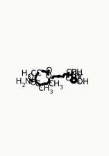 C[C@@H]1C/C=C\C(=O)O[C@H](/C=C/C#C/C=C/C(C)(C)C(O)c2cccc(O)c2Br)[C@@H](C)/C=C/[C@H](C)C[C@H](OC(N)=O)C1